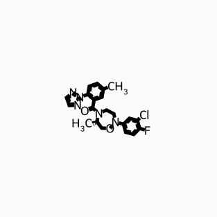 Cc1ccc(-n2nccn2)c(C(=O)N2CCN(c3ccc(F)c(Cl)c3)OC[C@H]2C)c1